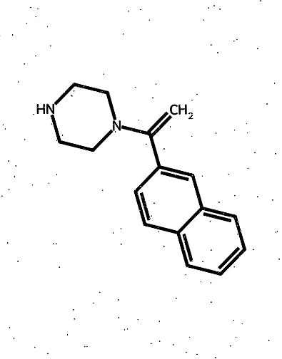 C=C(c1ccc2ccccc2c1)N1CCNCC1